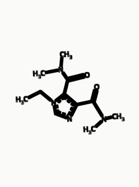 CCn1cnc(C(=O)N(C)C)c1C(=O)N(C)C